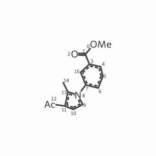 COC(=O)c1cccc(-n2ccc(C(C)=O)c2C)c1